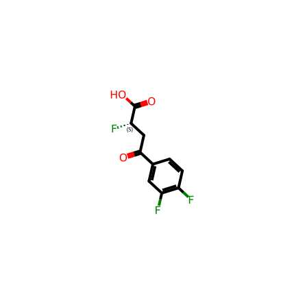 O=C(C[C@H](F)C(=O)O)c1ccc(F)c(F)c1